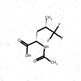 CC(=O)N[C@@H](C[C@H](C)C(F)(F)F)C(=O)O